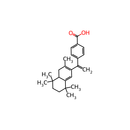 C=C(C1=C(C)CC2C(=C1)C(C)(C)CCC2(C)C)c1ccc(C(=O)O)cc1